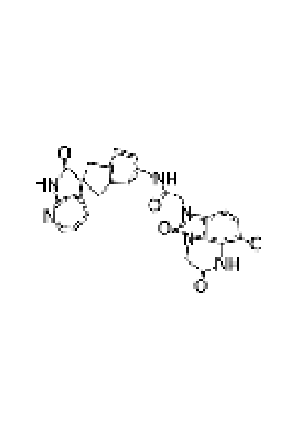 O=C(Cn1c(=O)n2c3c(c(Cl)ccc31)NC(=O)C2)Nc1ccc2c(c1)CC1(C2)C(=O)Nc2ncccc21